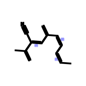 C=C(/C=C\C=C/C)/C=C(\C#N)C(=C)C